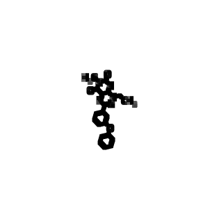 CCn1nc(-c2cccc(Oc3ccccc3)c2)nc2c(=O)n(C)c(=O)nc1-2